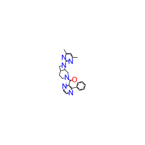 Cc1cc(C)nc(N2CC3CCN(C(=O)c4nccnc4-c4ccccc4)CC32)n1